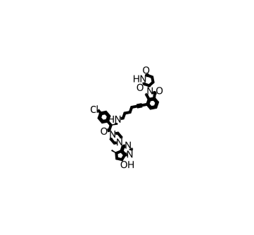 C[C@@H]1C[C@@H](O)c2ncnc(N3CCN(C(=O)[C@H](CNCCCCC#Cc4cccc5c4CN(C4CCC(=O)NC4=O)C5=O)c4ccc(Cl)cc4)CC3)c21